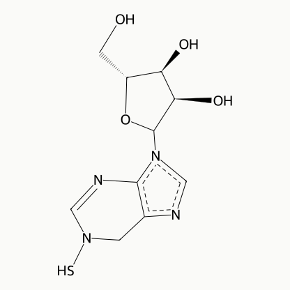 OC[C@H]1OC(n2cnc3c2N=CN(S)C3)[C@H](O)[C@@H]1O